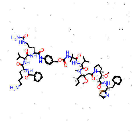 CC[C@H](C)[C@@H]([C@@H](CC(=O)N1CCC[C@H]1[C@H](OC)[C@@H](C)C(=O)N[C@@H](Cc1ccccc1)c1nccs1)OC)N(C)C(=O)[C@@H](NC(=O)C(C)(C)NC(=O)OCc1ccc(NC(=O)[C@H](CCCNC(N)=O)NC(=O)[C@@H](NC(=O)[C@H](CCCCN)NC(=O)c2ccccc2)C(C)C)cc1)C(C)C